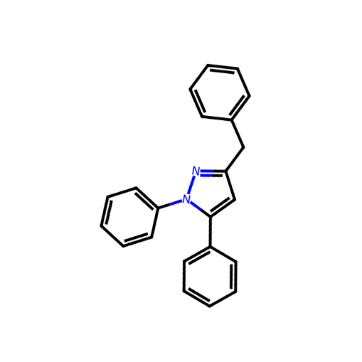 c1ccc(Cc2cc(-c3ccccc3)n(-c3ccccc3)n2)cc1